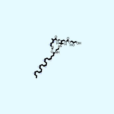 C=N/C=C\C=C(/C)C(=O)NC[C@H](CNC(=O)OC[C@@H](O)CO)C(C)(C)SSCCNC(=O)CC/C=C\C/C=C\C/C=C\C/C=C\C/C=C\C/C=C\CC